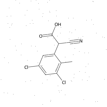 Cc1c(Cl)cc(Cl)cc1C(C#N)C(=O)O